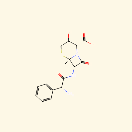 N[C@H](C(=O)N[C@@H]1C(=O)N2[C@@H](C(=O)O)C(O)CS[C@@H]12)c1ccccc1